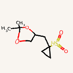 CC1(C)OCC(CC2([SH](=O)=O)CC2)O1